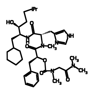 CC(C)CC[C@H](O)[C@H](CC1CCCCC1)NC(=O)[C@H](Cc1c[nH]cn1)N(C)C(=O)[C@H](Cc1ccccc1)OC(=O)N(C)CC(=O)N(C)C